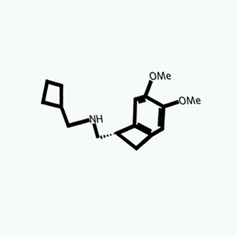 COc1cc2c(cc1OC)[C@@H](CNCC1CCC1)C2